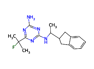 CC(Nc1nc(N)nc(C(C)(C)F)n1)C1Cc2ccccc2C1